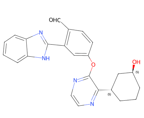 O=Cc1ccc(Oc2nccnc2[C@H]2CCC[C@H](O)C2)cc1-c1nc2ccccc2[nH]1